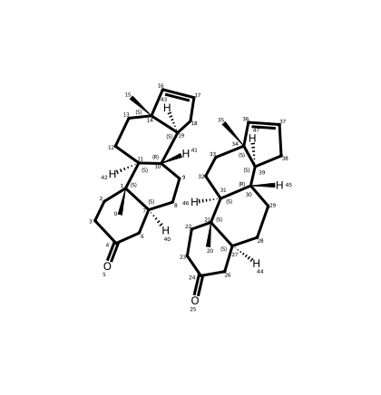 C[C@]12CCC(=O)C[C@@H]1CC[C@@H]1[C@@H]2CC[C@]2(C)C=CC[C@@H]12.C[C@]12CCC(=O)C[C@@H]1CC[C@@H]1[C@@H]2CC[C@]2(C)C=CC[C@@H]12